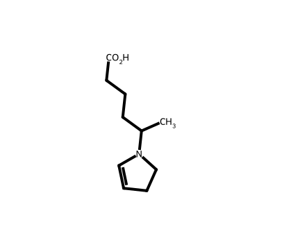 CC(CCCC(=O)O)N1C=CCC1